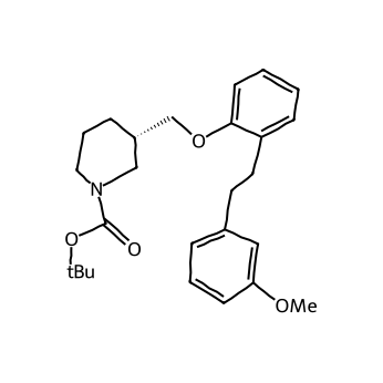 COc1cccc(CCc2ccccc2OC[C@H]2CCCN(C(=O)OC(C)(C)C)C2)c1